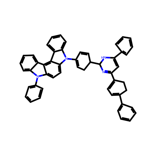 C1=CC(C2N=C(C3=CC=C(c4ccccc4)CC3)C=C(c3ccccc3)N2)CC=C1n1c2ccccc2c2c3c4ccccc4n(-c4ccccc4)c3ccc21